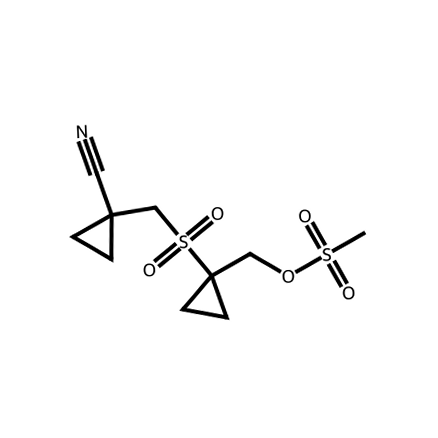 CS(=O)(=O)OCC1(S(=O)(=O)CC2(C#N)CC2)CC1